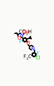 C/C=C(\C)[C@@H](C(=O)O)N(CO)C(=O)c1cc(C2CC2)c(OCC2CCN(Cc3cc(C(F)(F)F)cc(Cl)c3F)CC2)cc1F